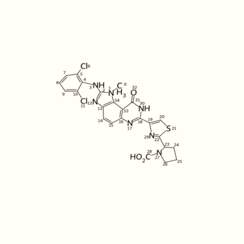 Cn1c(Nc2c(Cl)cccc2Cl)nc2ccc3nc(-c4csc(C5CCCN5C(=O)O)n4)[nH]c(=O)c3c21